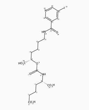 O=C(O)CCC[C@H](NC(=O)O[C@@H](CCCCNC(=O)c1cncc(I)c1)C(=O)O)C(=O)O